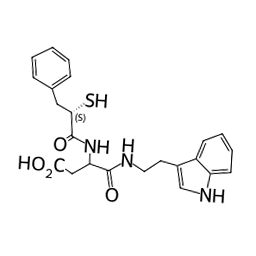 O=C(O)CC(NC(=O)[C@@H](S)Cc1ccccc1)C(=O)NCCc1c[nH]c2ccccc12